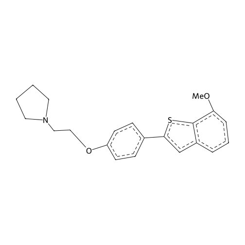 COc1cccc2cc(-c3ccc(OCCN4CCCC4)cc3)sc12